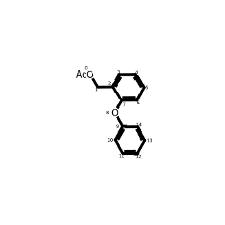 CC(=O)OCc1ccccc1Oc1ccccc1